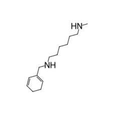 CNCCCCCCNCC1=CCCC=C1